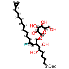 CCCCCCCCCCCCCC[C@@H](O)[C@@H](O)[C@@H](/C=C(/F)CCCCCCCCCCC1CC1)COC1OC(CO)C(O)C(O)C1O